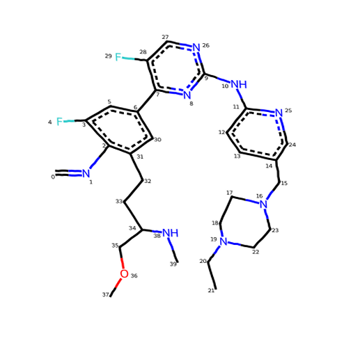 C=Nc1c(F)cc(-c2nc(Nc3ccc(CN4CCN(CC)CC4)cn3)ncc2F)cc1CCC(COC)NC